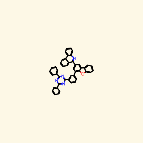 c1ccc(-c2nc(-c3ccccc3)nc(-c3cccc(-c4cc(-c5nc6ccccc6c6ccccc56)cc5c4oc4ccccc45)c3)n2)cc1